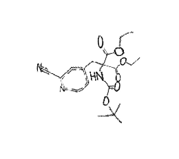 CCOC(=O)C(Cc1ccnc(C#N)c1)(NC(=O)OC(C)(C)C)C(=O)OCC